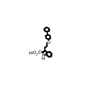 O=C(O)c1[nH]c2ccccc2c1CCCOc1ccc(-c2ccccc2)cc1